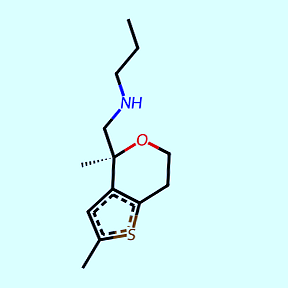 CCCNC[C@@]1(C)OCCc2sc(C)cc21